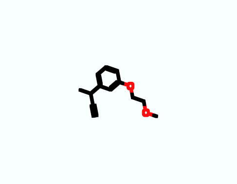 C#CC(C)c1cccc(OCCOC)c1